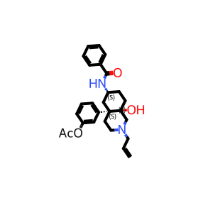 C=CCN1CC[C@@]2(c3cccc(OC(C)=O)c3)C[C@@H](NC(=O)c3ccccc3)CC[C@]2(O)C1